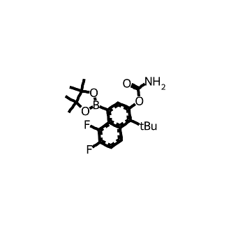 CC(C)(C)c1c(OC(N)=O)cc(B2OC(C)(C)C(C)(C)O2)c2c(F)c(F)ccc12